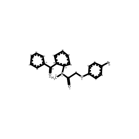 CN(C(=O)COc1ccc(Br)cc1)c1ccccc1C(=O)c1ccccc1